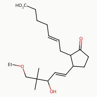 CCOCC(C)(C)C(O)C=CC1CCC(=O)C1CC=CCCCC(=O)O